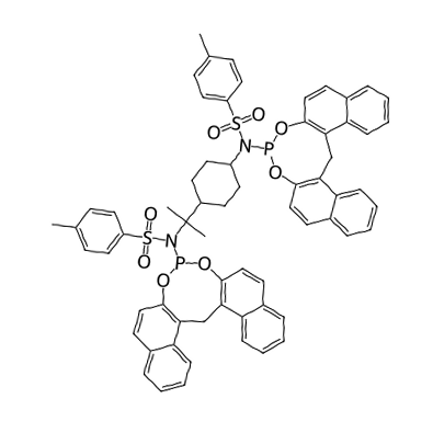 Cc1ccc(S(=O)(=O)N(C2CCC(C(C)(C)N(P3Oc4ccc5ccccc5c4Cc4c(ccc5ccccc45)O3)S(=O)(=O)c3ccc(C)cc3)CC2)P2Oc3ccc4ccccc4c3Cc3c(ccc4ccccc34)O2)cc1